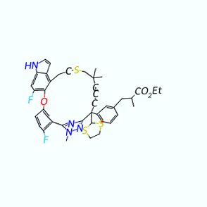 CCOC(=O)C(C)Cc1cccc(C2(C3SCCS3)CCCC(C)(C)CSCCc3c(c(F)cc4[nH]ccc34)Oc3ccc(F)c(c3)-c3nc2nn3C)c1